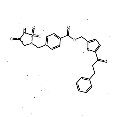 O=C1CN(Cc2ccc(C(=O)OCc3ccc(C(=O)CCc4ccccc4)s3)cc2)S(=O)(=O)N1